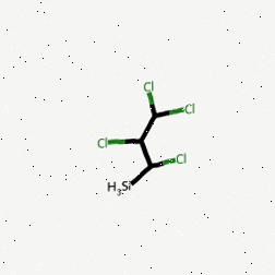 [SiH3]C(Cl)C(Cl)C(Cl)Cl